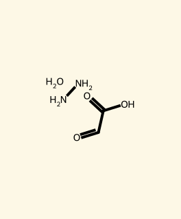 NN.O.O=CC(=O)O